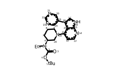 CCN(C(=O)OC(C)(C)C)[C@H]1CCCN(c2ccnc3[nH]cc(-c4cncnc4)c23)C1